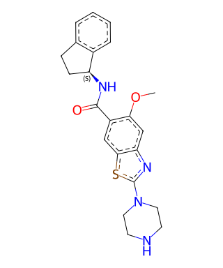 COc1cc2nc(N3CCNCC3)sc2cc1C(=O)N[C@H]1CCc2ccccc21